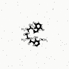 COc1ccnc(C(=O)N[C@@H](C)C(=O)OC(C)C(C)n2ccc3c(Br)ccc(F)c32)c1O